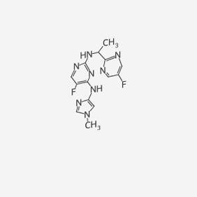 CC(Nc1ncc(F)c(Nc2cn(C)cn2)n1)c1ncc(F)cn1